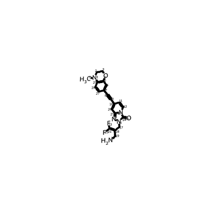 CN1CCOc2cc(C#Cc3ccn4c(=O)n(CC(CN)=C(F)F)nc4c3)ccc21